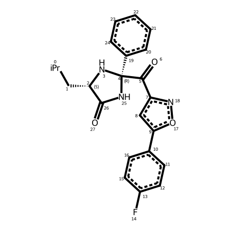 CC(C)C[C@@H]1N[C@](C(=O)c2cc(-c3ccc(F)cc3)on2)(c2ccccc2)NC1=O